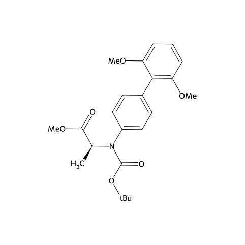 COC(=O)[C@H](C)N(C(=O)OC(C)(C)C)c1ccc(-c2c(OC)cccc2OC)cc1